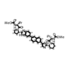 COC(=O)N[C@H](C(=O)N1CCCC[C@H]1c1ncc(-c2ccc3cc(-c4ccc5nc([C@@H]6CCCN6C(=O)[C@@H](NC(=O)OC)C(C)C)[nH]c5c4)ccc3c2)[nH]1)C(C)C